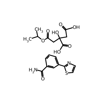 CC(C)OC(=O)CC(O)(CC(=O)O)C(=O)O.NC(=O)c1cccc(-c2nccs2)c1